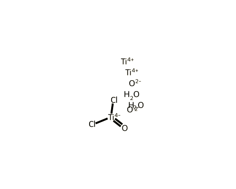 O.O.[O-2].[O-2].[O]=[Ti-4]([Cl])[Cl].[Ti+4].[Ti+4]